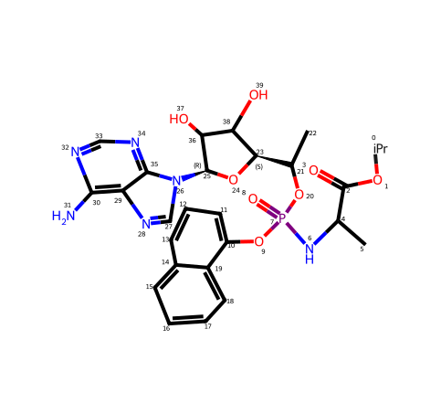 CC(C)OC(=O)C(C)NP(=O)(Oc1cccc2ccccc12)OC(C)[C@H]1O[C@@H](n2cnc3c(N)ncnc32)C(O)C1O